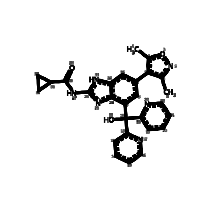 Cc1noc(C)c1-c1cc(C(O)(c2ccccn2)c2ccccn2)c2nc(NC(=O)C3CC3)[nH]c2c1